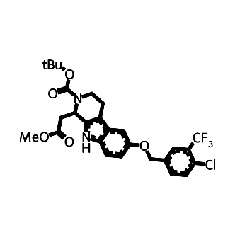 COC(=O)CC1c2[nH]c3ccc(OCc4ccc(Cl)c(C(F)(F)F)c4)cc3c2CCN1C(=O)OC(C)(C)C